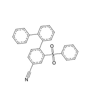 N#Cc1ccc(-c2ccccc2-c2ccccc2)c(S(=O)(=O)c2ccccc2)c1